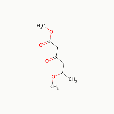 COC(=O)CC(=O)CC(C)OC